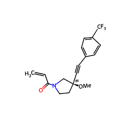 C=CC(=O)N1CC[C@](C#Cc2ccc(C(F)(F)F)cc2)(OC)C1